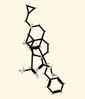 CC(C)(C)OC(=O)N1CCC23CCN(CC4CC4)C(Cc4cc(C(N)=O)c(OCc5ccccc5)cc42)C3(O)CC1